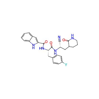 N#C[C@H](CC1CCCNC1=O)NC(=O)[C@H](Cc1ccc(F)cc1)NC(=O)c1cc2ccccc2[nH]1